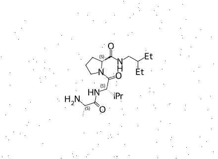 CCC(CC)CNC(=O)[C@@H]1CCCN1C(=O)[C@@H](NC(=O)[C@H](C)N)C(C)C